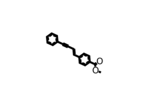 COC(=O)c1ccc(C=CC#Cc2ccccc2)cc1